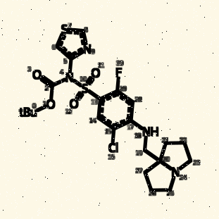 CC(C)(C)OC(=O)N(c1cscn1)S(=O)(=O)c1cc(Cl)c(NCC23CCCN2CCC3)cc1F